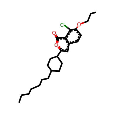 CCCCCCCC1CCC(c2cc3ccc(OCCC)c(Cl)c3c(=O)o2)CC1